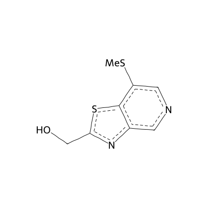 CSc1cncc2nc(CO)sc12